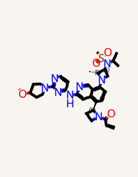 C=CC(=O)N1CC[C@H]1c1ccc(N2C[C@H](N(C(C)C)S(C)(=O)=O)[C@H]2C)c2cnc(Nc3ccnc(N4CCC(OC)CC4)n3)cc12